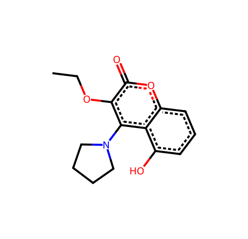 CCOc1c(N2CCCC2)c2c(O)cccc2oc1=O